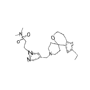 CCc1cc2c(s1)CCOC21CCN(Cc2cnn(CCS(=O)(=O)N(C)C)c2)CC1